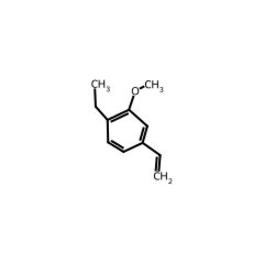 C=Cc1ccc(CC)c(OC)c1